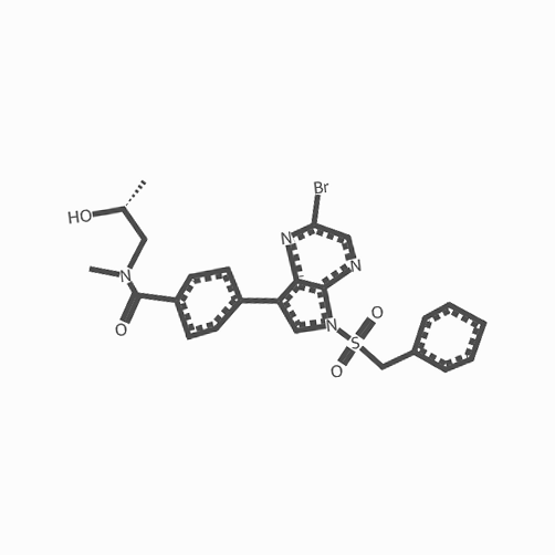 C[C@@H](O)CN(C)C(=O)c1ccc(-c2cn(S(=O)(=O)Cc3ccccc3)c3ncc(Br)nc23)cc1